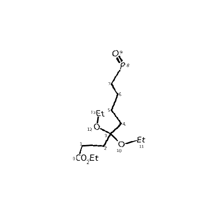 CCOC(=O)CCC(CCCCP=O)(OCC)OCC